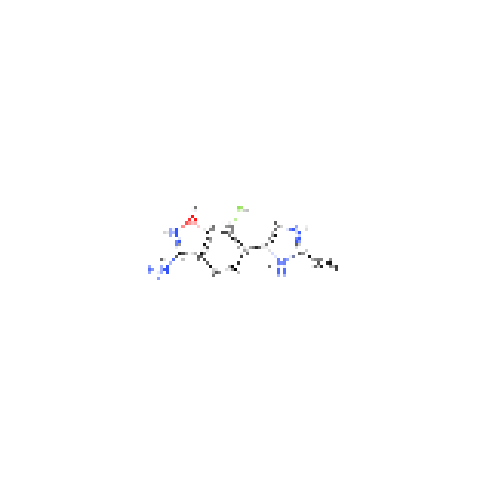 Cc1ncc(-c2ccc3c(N)noc3c2F)[nH]1